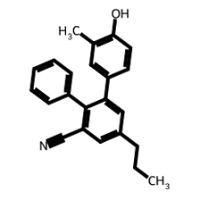 CCCc1cc(C#N)c(-c2ccccc2)c(-c2ccc(O)c(C)c2)c1